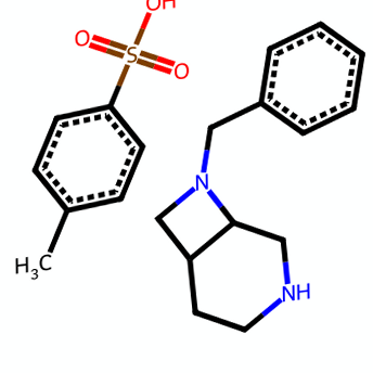 Cc1ccc(S(=O)(=O)O)cc1.c1ccc(CN2CC3CCNCC32)cc1